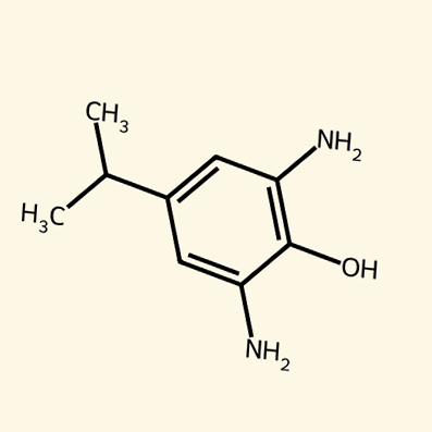 CC(C)c1cc(N)c(O)c(N)c1